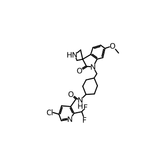 COc1ccc2c(c1)N(CC1CCC(NC(=O)c3cc(Cl)cnc3C(F)F)CC1)C(=O)C21CNC1